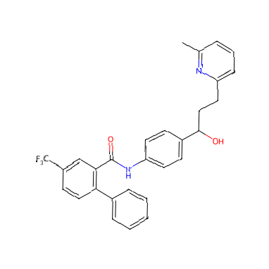 Cc1cccc(CCC(O)c2ccc(NC(=O)c3cc(C(F)(F)F)ccc3-c3ccccc3)cc2)n1